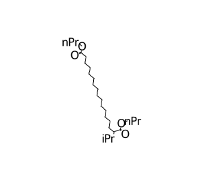 CCCOC(=O)CCCCCCCCCCCCCCC(C(=O)OCCC)C(C)C